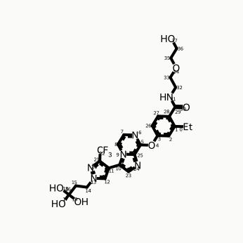 CCc1cc(Oc2nccn3c(-c4cn(CCC(O)(O)O)nc4C(F)(F)F)cnc23)ccc1C(=O)NCCOCCO